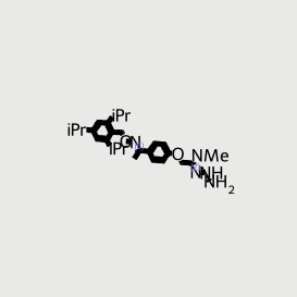 CN/C(COc1ccc(/C(C)=N/OCc2c(C(C)C)cc(C(C)C)cc2C(C)C)cc1)=N\NN